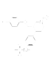 CCCCN1CCC(c2ccc(NS(C)(=O)=O)cc2)C(COc2ccc(C(F)(F)F)cc2)C1